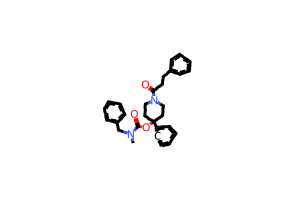 CN(Cc1ccccc1)C(=O)OC1(c2ccccc2)CCN(C(=O)CCc2ccccc2)CC1